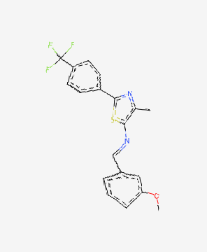 COc1cccc(C=Nc2sc(-c3ccc(C(F)(F)F)cc3)nc2C)c1